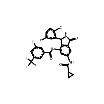 O=C(Nc1cc(NC(=O)C2CC2)cc2c1C(c1cc(F)ccc1Cl)NC2=O)c1cc(F)cc(C(F)(F)F)c1